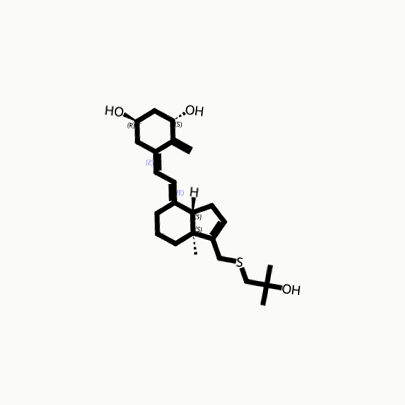 C=C1/C(=C\C=C2/CCC[C@]3(C)C(CSCC(C)(C)O)=CC[C@@H]23)C[C@@H](O)C[C@@H]1O